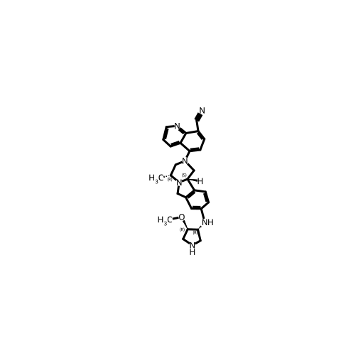 CO[C@@H]1CNC[C@H]1Nc1ccc2c(c1)CN1[C@H](C)CN(c3ccc(C#N)c4ncccc34)C[C@H]21